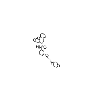 O=C(Nc1cccc(OCCCN2CCOCC2)c1)C(Cc1ccccc1)C1=COCO1